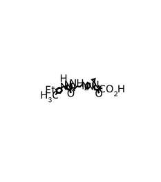 CCc1cc(Nc2cc(=O)n(CCCCN3CCN(c4cc(=O)c(C(=O)O)cn4C4CC4)CC3)c(N)n2)ccc1C